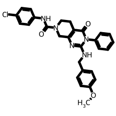 COc1ccc(CNc2nc3c(c(=O)n2-c2ccccc2)CCN(C(=O)Nc2ccc(Cl)cc2)C3)cc1